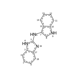 c1ccc2[nH]c(Nc3c[nH]c4ccccc34)nc2c1